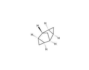 C1[C@H]2[C@@H]1[C@H]1C[C@H]2[C@@H]2C[C@H]12